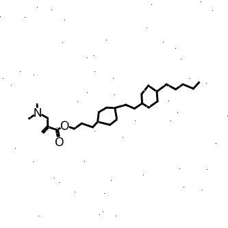 C=C(CN(C)C)C(=O)OCCCC1CCC(CCC2CCC(CCCCC)CC2)CC1